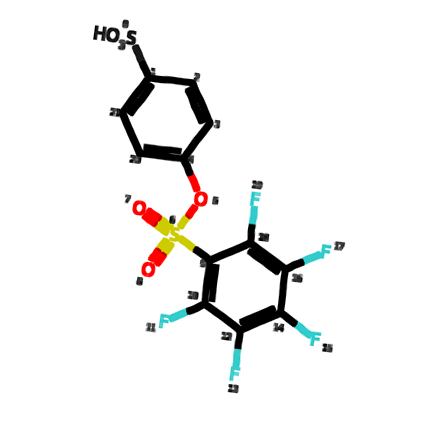 O=S(=O)(O)c1ccc(OS(=O)(=O)c2c(F)c(F)c(F)c(F)c2F)cc1